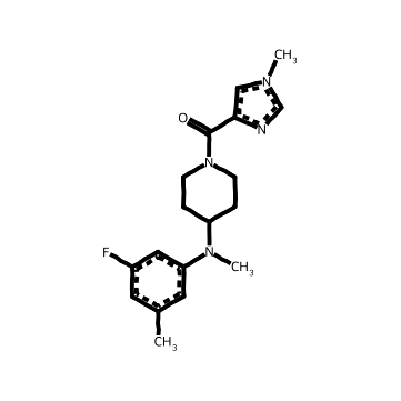 Cc1cc(F)cc(N(C)C2CCN(C(=O)c3cn(C)cn3)CC2)c1